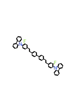 Fc1cc(C=Cc2ccc(-c3ccc(C=Cc4ccc(-n5c6ccccc6c6ccccc65)c(F)c4)cc3)cc2)ccc1-n1c2ccccc2c2ccccc21